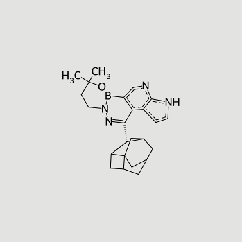 CC1(C)CCN2N=C([C@@H]3C4CC5CC6CC3C6(C5)C4)c3c(cnc4[nH]ccc34)B2O1